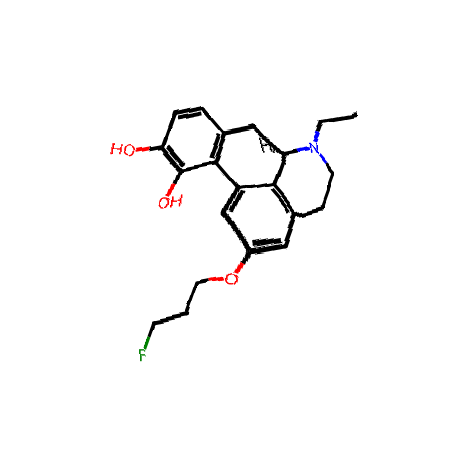 CCN1CCc2cc(OCCCF)cc3c2[C@H]1Cc1ccc(O)c(O)c1-3